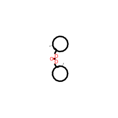 C[C@H]1C=C(COC(=O)OCC2=C[C@H](C)CCCCCCCCCCCC2)CCCCCCCCCCCC1